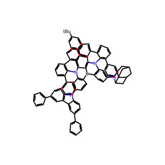 CC(C)(C)c1ccc(-c2cc3c4c(c2)N(c2c(-c5ccccc5)cccc2-c2ccccc2)c2cc(-n5c6ccc(-c7ccccc7)cc6c6cc(-c7ccccc7)ccc65)ccc2B4c2ccc(N4C5CC6CC(C5)CC4C6)cc2N3c2c(-c3ccccc3)cccc2-c2ccccc2)cc1